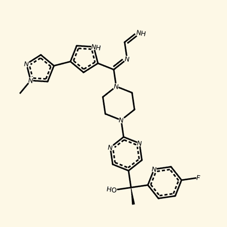 Cn1cc(-c2c[nH]c(/C(=N\C=N)N3CCN(c4ncc([C@@](C)(O)c5ccc(F)cn5)cn4)CC3)c2)cn1